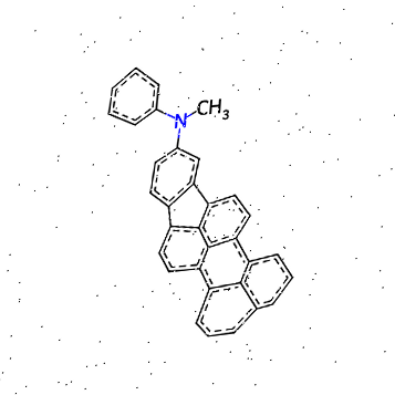 CN(c1ccccc1)c1ccc2c(c1)-c1ccc3c4cccc5cccc(c6ccc-2c1c63)c54